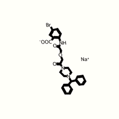 O=C(COCC(=O)N1CCN(C(c2ccccc2)c2ccccc2)CC1)Nc1ccc(Br)cc1C(=O)[O-].[Na+]